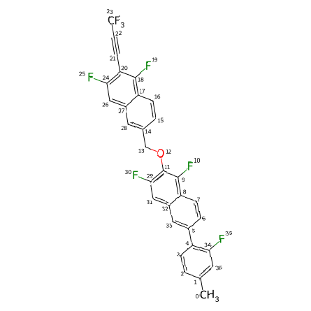 Cc1ccc(-c2ccc3c(F)c(OCc4ccc5c(F)c(C#CC(F)(F)F)c(F)cc5c4)c(F)cc3c2)c(F)c1